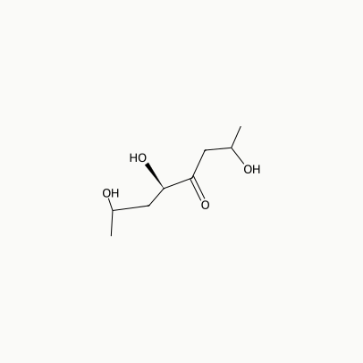 CC(O)CC(=O)[C@H](O)CC(C)O